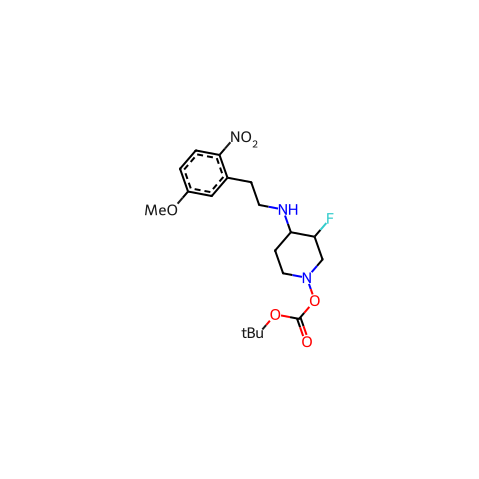 COc1ccc([N+](=O)[O-])c(CCNC2CCN(OC(=O)OC(C)(C)C)CC2F)c1